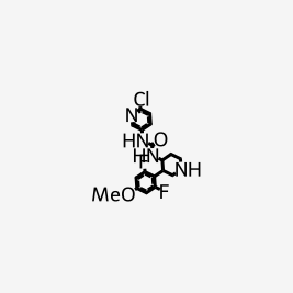 COc1cc(F)c(C2CNCCC2NC(=O)Nc2ccc(Cl)nc2)c(F)c1